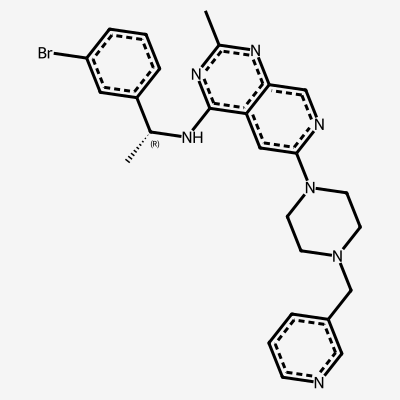 Cc1nc(N[C@H](C)c2cccc(Br)c2)c2cc(N3CCN(Cc4cccnc4)CC3)ncc2n1